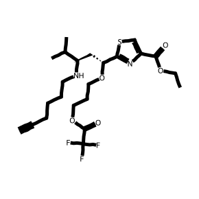 C#CCCCCN[C@H](C[C@@H](OCCCOC(=O)C(F)(F)F)c1nc(C(=O)OCC)cs1)C(C)C